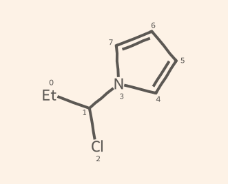 CCC(Cl)n1cccc1